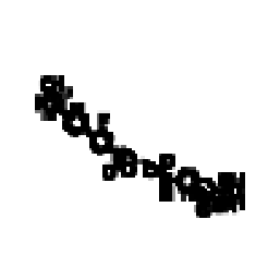 Cn1nnc(-c2ccc(-c3ccc(N4C[C@H](COC(=O)Nc5ccc(CC(P(=O)(O)O)P(=O)(O)O)cc5)OC4=O)cc3F)cn2)n1